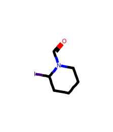 O=CN1CCCCC1I